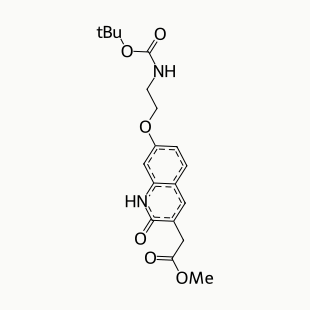 COC(=O)Cc1cc2ccc(OCCNC(=O)OC(C)(C)C)cc2[nH]c1=O